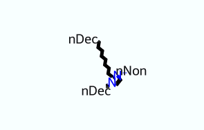 CCCCCCCCCCCCCCCCCCc1n(CCCCCCCCCCC)cc[n+]1CCCCCCCCC